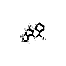 Nc1cc(OC(c2ccccc2)C(F)(F)F)c2nn[nH]c2n1